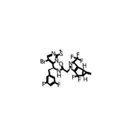 C=C1[C@@H]2c3c(C(F)(F)F)nn(CC(=O)N[C@@H](Cc4cc(F)cc(F)c4)c4nc(SC)ncc4Br)c3C(F)(F)[C@H]12